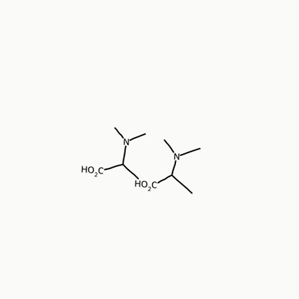 CC(C(=O)O)N(C)C.CC(C(=O)O)N(C)C